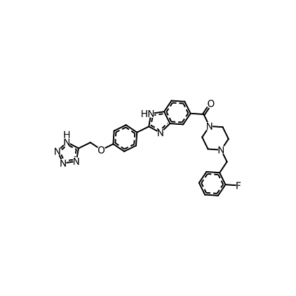 O=C(c1ccc2[nH]c(-c3ccc(OCc4nnn[nH]4)cc3)nc2c1)N1CCN(Cc2ccccc2F)CC1